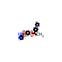 CCC(C(=O)Oc1ccc(S(=O)(=O)NC2CN3CCC2CC3)cc1)c1ccc(N2CCCC2)cc1